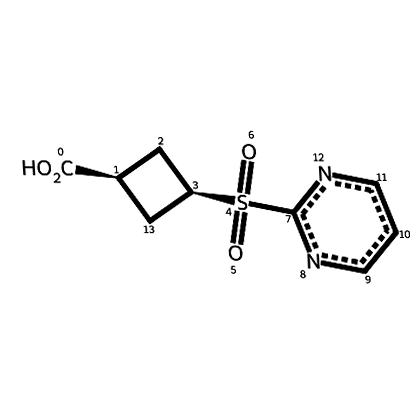 O=C(O)[C@H]1C[C@@H](S(=O)(=O)c2ncccn2)C1